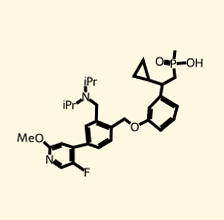 COc1cc(-c2ccc(COc3cccc(C(CP(C)(=O)O)C4CC4)c3)c(CN(C(C)C)C(C)C)c2)c(F)cn1